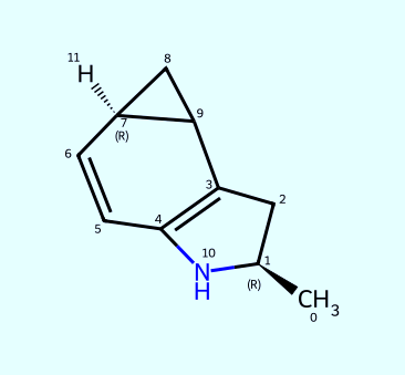 C[C@@H]1CC2=C(C=C[C@H]3CC23)N1